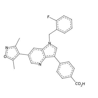 Cc1noc(C)c1-c1cnc2c(-c3ccc(C(=O)O)cc3)cn(Cc3ccccc3F)c2c1